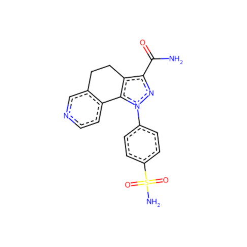 NC(=O)c1nn(-c2ccc(S(N)(=O)=O)cc2)c2c1CCc1cnccc1-2